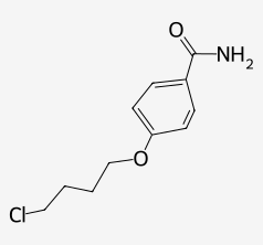 NC(=O)c1ccc(OCCCCCl)cc1